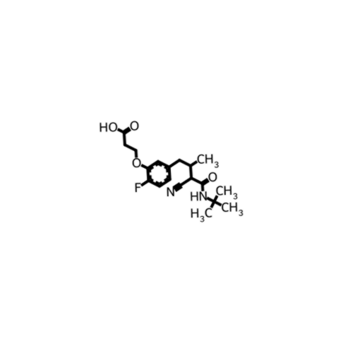 CC(Cc1ccc(F)c(OCCC(=O)O)c1)C(C#N)C(=O)NC(C)(C)C